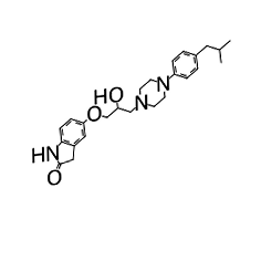 CC(C)Cc1ccc(N2CCN(CC(O)COc3ccc4c(c3)CC(=O)N4)CC2)cc1